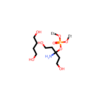 CCOP(=O)(OCC)OC(N)(CCO)CCO.OCCCCO